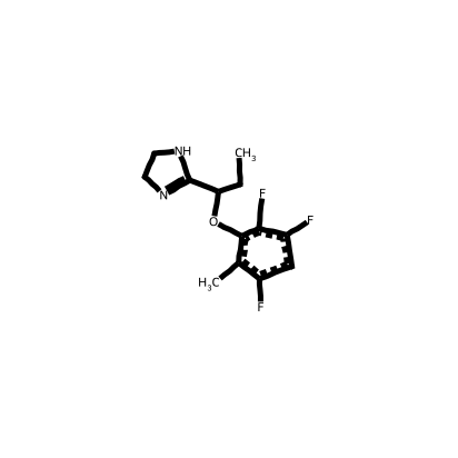 CCC(Oc1c(C)c(F)cc(F)c1F)C1=NCCN1